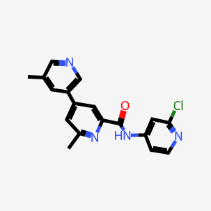 Cc1cncc(-c2cc(C)nc(C(=O)Nc3ccnc(Cl)c3)c2)c1